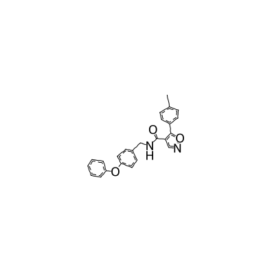 Cc1ccc(-c2oncc2C(=O)NCc2ccc(Oc3ccccc3)cc2)cc1